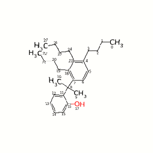 CCCCc1ccc(C(C)(C)c2ccccc2O)c(CCCC)c1CCCC